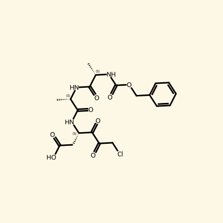 C[C@H](NC(=O)OCc1ccccc1)C(=O)N[C@@H](C)C(=O)N[C@@H](CC(=O)O)C(=O)C(=O)CCl